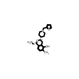 Cc1ccc2c(c1O)C[C@@H](C1CCN(Cc3cccs3)CC1)O[C@H]2CN